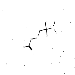 CN(C)C(C)(C)CNCC(=O)O